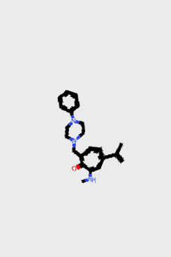 CNc1cc(C(C)C)ccc(CN2CCN(c3ccccc3)CC2)c1=O